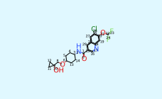 O=C(N[C@H]1CC[C@H](OCC2(O)CC2)CC1)c1cnc2cc(OC(F)F)c(Cl)cc2c1